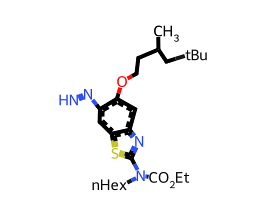 CCCCCCN(C(=O)OCC)c1nc2cc(OCCC(C)CC(C)(C)C)c(N=N)cc2s1